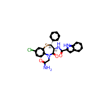 NC(=O)CN1C(=O)[C@H](NC(=O)c2cc3ccccc3[nH]2)[C@@H](c2ccccc2)Sc2cc(Cl)ccc21